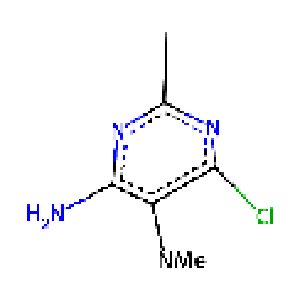 CNc1c(N)nc(C)nc1Cl